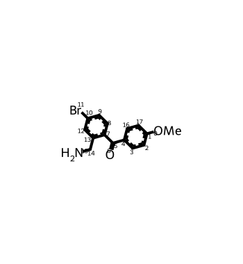 COc1ccc(C(=O)c2ccc(Br)cc2CN)cc1